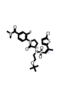 C/C(=C/S(=O)(=O)N(CCOC(C)(C)C)[C@H]1CCN(c2ccc(C(=O)N(C)C)cc2F)C1=O)c1ccc(Cl)s1